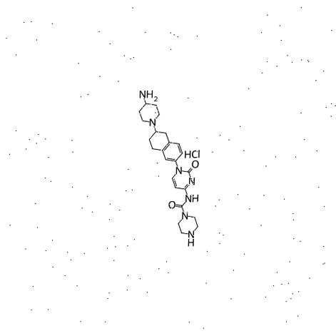 Cl.NC1CCN(C2CCc3cc(-n4ccc(NC(=O)N5CCNCC5)nc4=O)ccc3C2)CC1